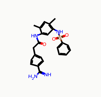 Cc1cc(C)c(NS(=O)(=O)c2ccccc2)cc1NC(=O)Cc1ccc(C(=N)N)cc1